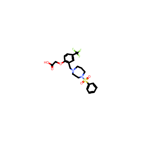 O=C(O)COc1ccc(C(F)(F)F)cc1CN1CCCN(S(=O)(=O)c2ccccc2)CC1